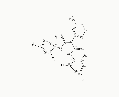 Cc1cccc(C(C(=O)Oc2c(Cl)cc(Cl)cc2Cl)C(=O)Oc2c(Cl)cc(Cl)cc2Cl)c1